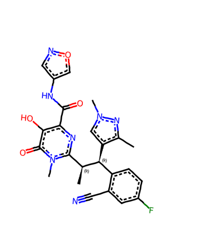 Cc1nn(C)cc1[C@@H](c1ccc(F)cc1C#N)[C@@H](C)c1nc(C(=O)Nc2cnoc2)c(O)c(=O)n1C